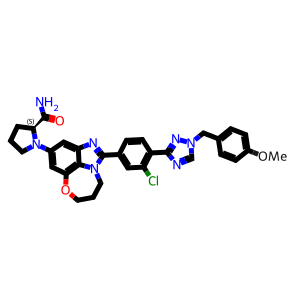 COc1ccc(Cn2cnc(-c3ccc(-c4nc5cc(N6CCC[C@H]6C(N)=O)cc6c5n4CCCO6)cc3Cl)n2)cc1